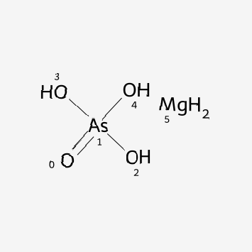 O=[As](O)(O)O.[MgH2]